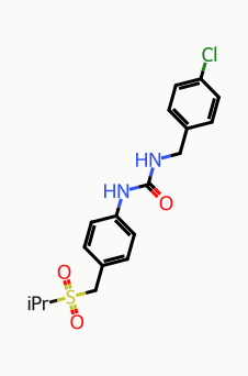 CC(C)S(=O)(=O)Cc1ccc(NC(=O)NCc2ccc(Cl)cc2)cc1